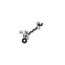 C=CC(=O)OCCCCCCN(N)c1nc2ccccc2s1